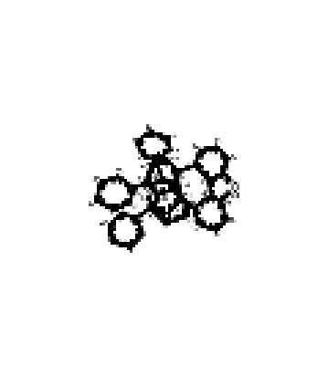 c1ccc(-c2nc(-c3ccccc3)nc(-c3cccc4oc5cccc(-c6ccc(-c7ccccc7)c7ccccc67)c5c34)n2)cc1